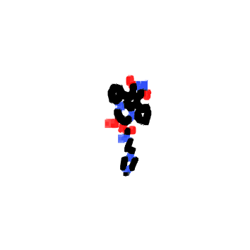 CN1CCN(CCCNC(=O)OC2Cn3c4ccccc4c4c5c(c6c7ccccc7n(c6c43)CC2O)C(=O)NC5=O)CC1